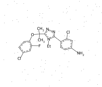 CCn1c(-c2ccc(N)cc2Cl)nnc1C(C)(C)Oc1ccc(Cl)cc1F